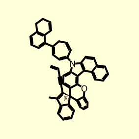 C=CC#CC1=C(C)c2ccccc2[C@]12c1ccccc1Oc1c2ccc2c1c1c3ccccc3ccc1n2C1=CC=C(c2cccc3c2C=CCC3)CC=C1